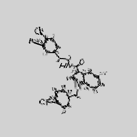 O=C(NCCc1ccc(Cl)c(F)c1)c1cn(Cc2ccc(Cl)cc2)c2ccccc12